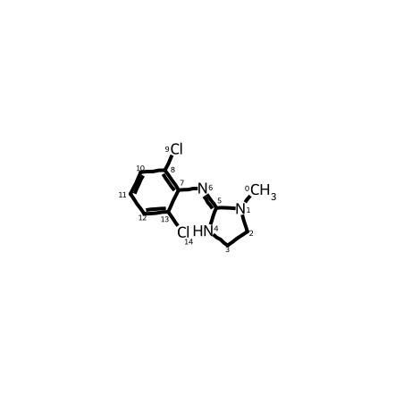 CN1CCNC1=Nc1c(Cl)cccc1Cl